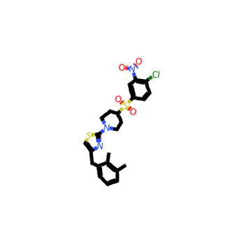 Cc1cccc(Cc2csc(N3CCC(S(=O)(=O)c4ccc(Cl)c([N+](=O)[O-])c4)CC3)n2)c1C